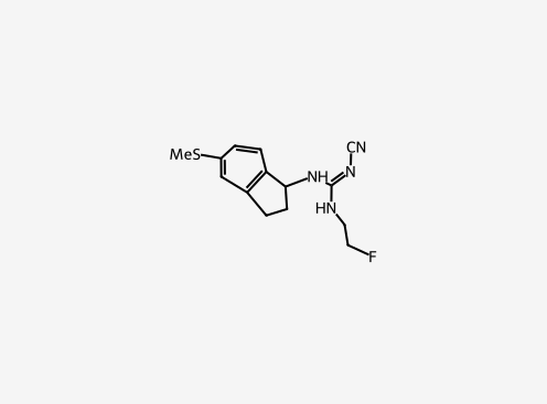 CSc1ccc2c(c1)CCC2N/C(=N\C#N)NCCF